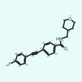 O=C(NCC1CCOCC1)c1ccc(C#Cc2ccc(F)cc2)cc1